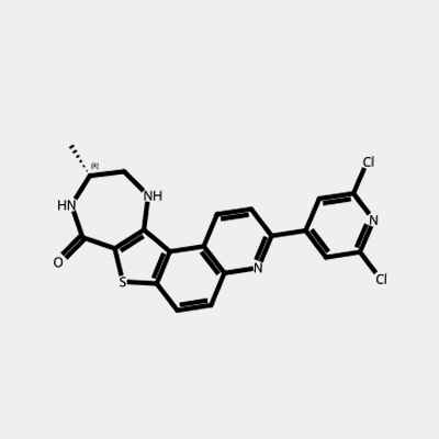 C[C@@H]1CNc2c(sc3ccc4nc(-c5cc(Cl)nc(Cl)c5)ccc4c23)C(=O)N1